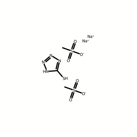 CS(=O)(=O)[O-].CS(=O)(=O)[O-].Sc1nnn[nH]1.[Na+].[Na+]